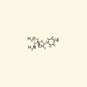 CC[Si](C)(CN)CCc1ccc(F)cc1